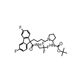 CC(C)(C)OC(=O)NC1CCCN1CCCCC1(C(=O)NCC(F)(F)F)c2ccc(F)cc2-c2cc(F)ccc21